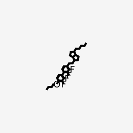 CCCCCC1CCC2C(CCc3ccc(-c4ccc(OCCCC)c(F)c4F)c(F)c3F)CCC12